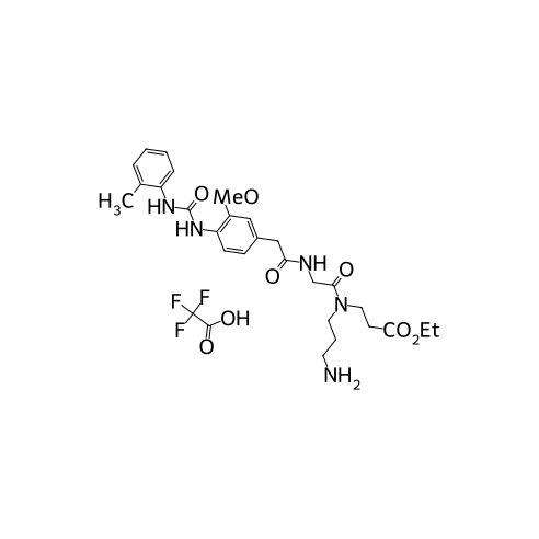 CCOC(=O)CCN(CCCN)C(=O)CNC(=O)Cc1ccc(NC(=O)Nc2ccccc2C)c(OC)c1.O=C(O)C(F)(F)F